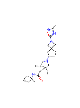 Cc1noc(N2CC3(CCC(N4C[C@@H]5C(C(=O)NC6(C)CCC6)[C@@H]5C4)C3)C2)n1